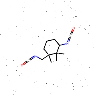 CC1(CN=C=O)CCCC(N=C=O)C1(C)C